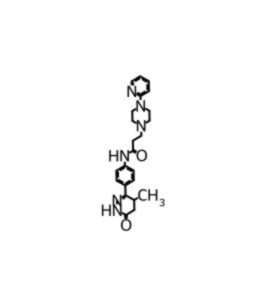 CC1CC(=O)NN=C1c1ccc(NC(=O)CCN2CCN(c3ccccn3)CC2)cc1